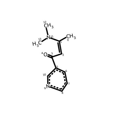 CC(=CC(=O)c1cccnc1)N(C)C